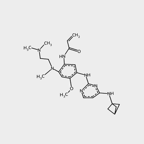 C=CC(=O)Nc1cc(Nc2nccc(NC34CC(C3)C4)n2)c(OC)cc1N(C)CCN(C)C